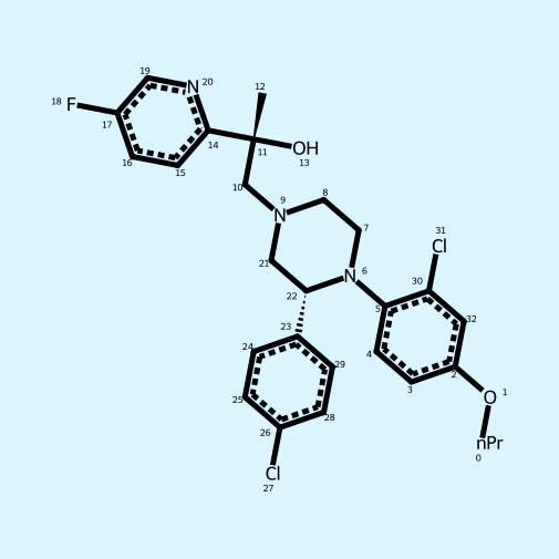 CCCOc1ccc(N2CCN(C[C@@](C)(O)c3ccc(F)cn3)C[C@H]2c2ccc(Cl)cc2)c(Cl)c1